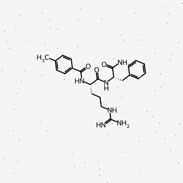 Cc1ccc(C(=O)N[C@@H](CCCNC(=N)N)C(=O)N[C@@H](Cc2ccccc2)C(N)=O)cc1